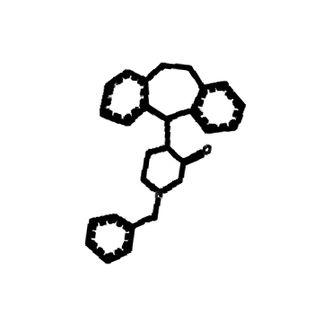 O=C1CN(Cc2ccccc2)CCC1C1c2ccccc2CCc2ccccc21